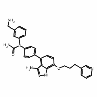 NCc1cccc(N(C(N)=O)c2ccc(-c3ccc(OCCCc4cccnc4)c4[nH]nc(N)c34)cc2)c1